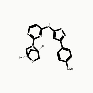 COc1ccc(-c2cc(Nc3ccnc(N4C[C@H]5C[C@@H]4CO5)n3)on2)cc1